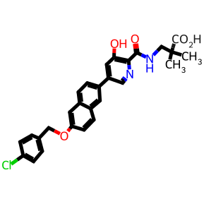 CC(C)(CNC(=O)c1ncc(-c2ccc3cc(OCc4ccc(Cl)cc4)ccc3c2)cc1O)C(=O)O